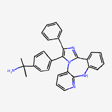 CC(C)(N)c1ccc(-c2c(-c3ccccc3)nc3n2-c2cccnc2Nc2ccccc2-3)cc1